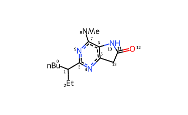 CCCCC(CC)c1nc2c(c(NC)n1)NC(=O)C2